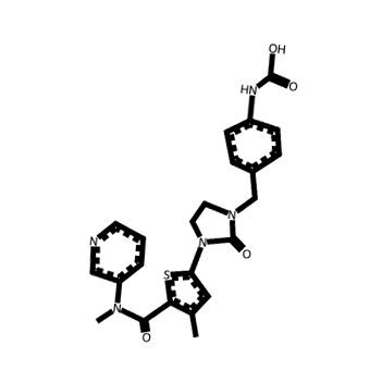 Cc1cc(N2CCN(Cc3ccc(NC(=O)O)cc3)C2=O)sc1C(=O)N(C)c1cccnc1